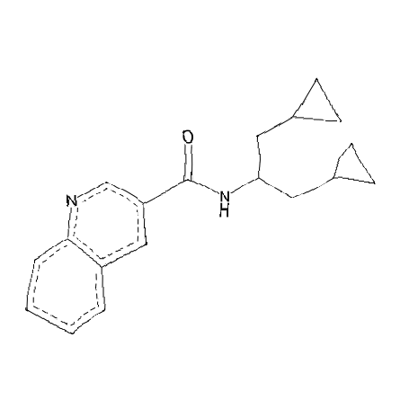 O=C(NC(CC1CC1)CC1CC1)c1cnc2ccccc2c1